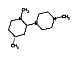 C[C@@H]1CCN(C)C(N2CCN(C)CC2)C1